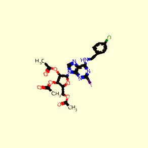 CC(=O)OCC1OC(n2cnc3c(NCc4ccc(Cl)cc4)nc(I)nc32)C(OC(C)=O)C1OC(C)=O